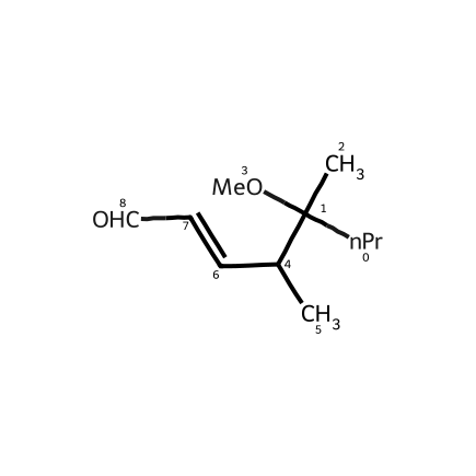 CCCC(C)(OC)C(C)/C=C/C=O